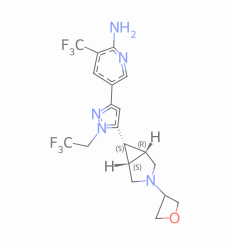 Nc1ncc(-c2cc([C@@H]3[C@@H]4CN(C5COC5)C[C@@H]43)n(CC(F)(F)F)n2)cc1C(F)(F)F